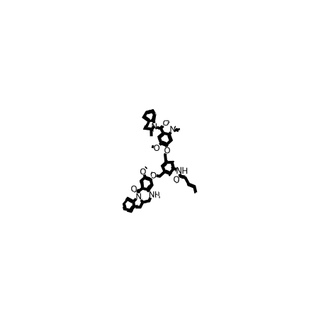 C=Nc1cc(OCc2cc(COc3cc4c(cc3OC)C(=O)N3c5ccccc5CC3CN4)cc(NC(=O)CCCC)c2)c(OC)cc1C(=O)N1c2ccccc2CC1C